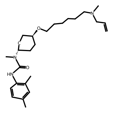 C=CCN(C)CCCCCCO[C@H]1CC[C@H](N(C)C(=O)Nc2ccc(C)cc2C)CC1